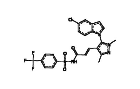 Cc1nn(C)c(-n2ccc3cc(Cl)ccc32)c1/C=C/C(=O)NS(=O)(=O)c1ccc(C(F)(F)F)cc1